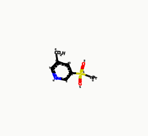 CCCS(=O)(=O)c1cncc(C(=O)O)c1